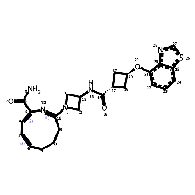 NC(=O)C1=C/C=C\CCC/C(N2CC(NC(=O)[C@H]3C[C@H](Oc4cccc5scnc45)C3)C2)=N\1